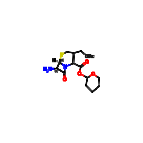 CC(=O)OCC1=C(C(=O)OC2CCCCO2)N2C(=O)[C@@H](N)[C@H]2SC1